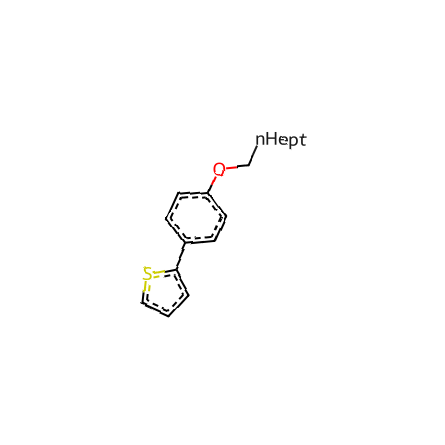 CCCCCCCCOc1ccc(-c2cccs2)cc1